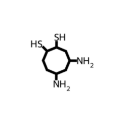 NC1CCC(S)C(S)CC(N)C1